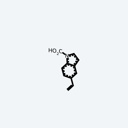 C=Cc1ccc2c(ccn2C(=O)O)c1